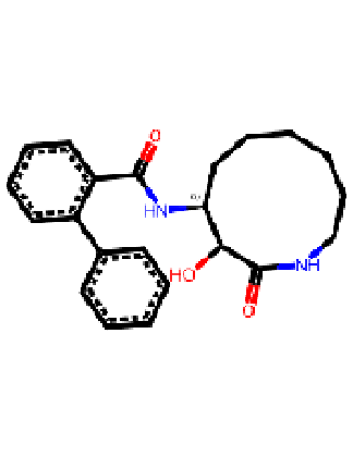 O=C(N[C@H]1CCCCCCNC(=O)C1O)c1ccccc1-c1ccccc1